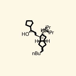 CC(C)NC(C)C.CCCCC=C1C[C@H]2C[C@@H](O)[C@H](C=C[C@@H](O)C3CCCC3)[C@H]2C1